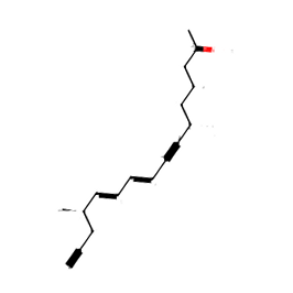 C#CC[C@@H](C)/C=C/C=C/C#C[C@@H](C)CCCC(C)=O